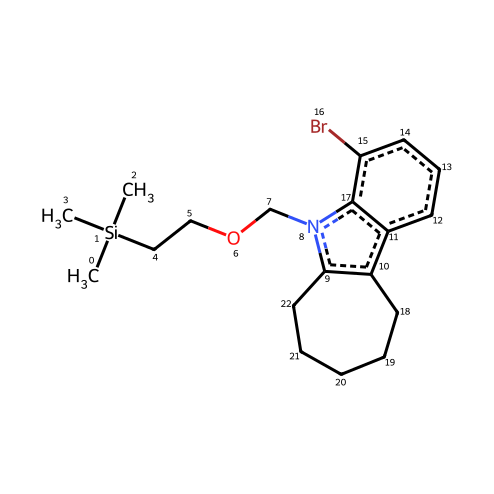 C[Si](C)(C)CCOCn1c2c(c3cccc(Br)c31)CCCCC2